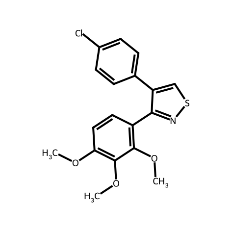 COc1ccc(-c2nscc2-c2ccc(Cl)cc2)c(OC)c1OC